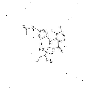 CC(=O)O.CCCC(N)C1(O)CN(C(=O)c2ccc(F)c(F)c2Nc2ccc(I)cc2F)C1